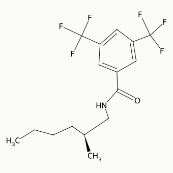 CCCC[C@H](C)CNC(=O)c1cc(C(F)(F)F)cc(C(F)(F)F)c1